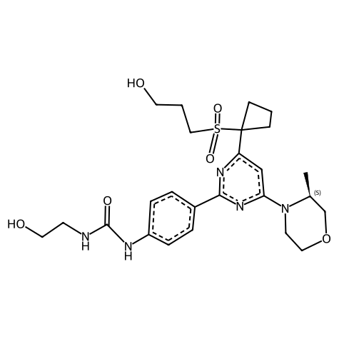 C[C@H]1COCCN1c1cc(C2(S(=O)(=O)CCCO)CCC2)nc(-c2ccc(NC(=O)NCCO)cc2)n1